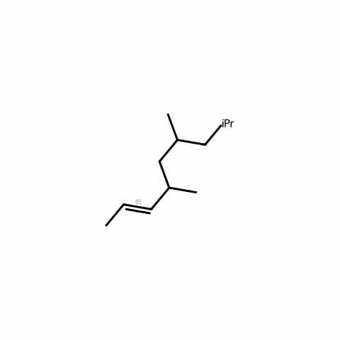 C/C=C/C(C)CC(C)CC(C)C